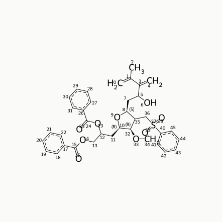 C=C(C)C(=C)C(O)C[C@@H]1O[C@H](CC(COC(=O)c2ccccc2)OC(=O)c2ccccc2)[C@H](OC)C1CS(=O)(=O)c1ccccc1